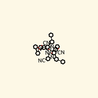 N#Cc1cc(-c2nc(-c3cc(C#N)ccc3-n3c4ccc(-c5ccccc5)cc4c4cc(-c5ccccc5)ccc43)nc(-c3cc(C#N)ccc3-n3c4ccc(-c5ccccc5)cc4c4cc(-c5ccccc5)ccc43)n2)cc(-n2c3ccccc3c3ccccc32)c1